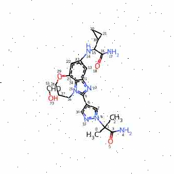 CC(C)(C(N)=O)n1cc(-c2nc3cc(N[C@H](C(N)=O)C4CC4)cc4c3n2CCCO4)cn1.O=CO